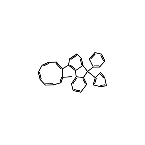 Cc1ccccccccc1-c1cccc2c1-c1ccccc1C2(c1ccccc1)c1ccccc1